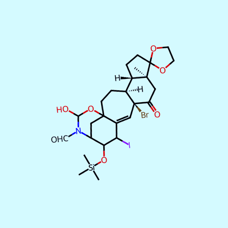 C[C@]12CC(=O)[C@]3(Br)C=C4C(I)C(O[Si](C)(C)C)C5CC4(CC[C@H]3[C@@H]1CCC21OCCO1)OC(O)N5C=O